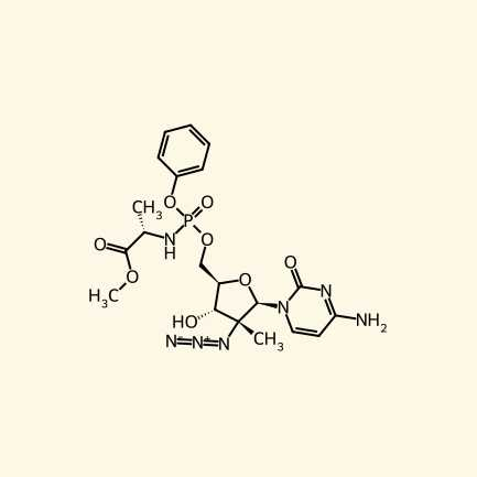 COC(=O)[C@H](C)NP(=O)(OC[C@H]1O[C@@H](n2ccc(N)nc2=O)[C@](C)(N=[N+]=[N-])[C@@H]1O)Oc1ccccc1